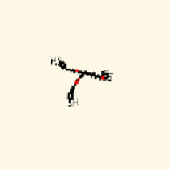 SC1CCC(CCCCCCCCC(CCCCCCCCC2CCC(S)CC2)CCCCCCCCC2CCC3SC3C2)CC1